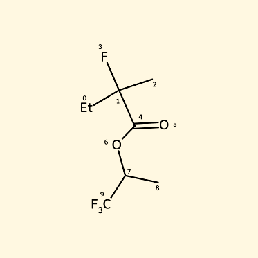 CCC(C)(F)C(=O)OC(C)C(F)(F)F